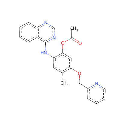 CC(=O)Oc1cc(OCc2ccccn2)c(C)cc1Nc1ncnc2ccccc12